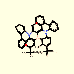 CC1C(C(C)(C)C)=CC=C2C1B1C3=C(CCC=C3N(C3=CCCC=C3c3ccccc3)c3ccc(C(C)(C)C)cc31)N2c1ccccc1-c1ccccc1